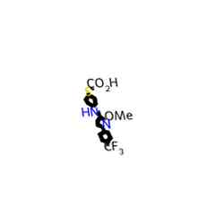 COc1nc(-c2ccc(C(F)(F)F)cc2)ccc1CNc1ccc(SCC(=O)O)cc1